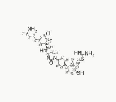 C[C@H](N)CCCc1cc(Cl)c(F)c(-c2cc3cn(-c4ccc([C@@H]5CC[C@@H](O)C(CCSC(=N)N)N5C)cc4)c(=O)nc3[nH]2)c1